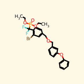 CCOP(=O)(OCC)C(F)(F)c1ccc(COCc2cccc(Oc3ccccc3)c2)cc1Br